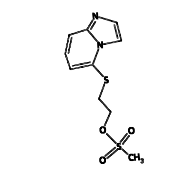 CS(=O)(=O)OCCSc1cccc2nccn12